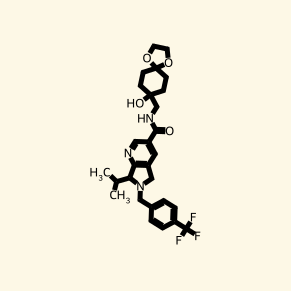 CC(C)C1c2ncc(C(=O)NCC3(O)CCC4(CC3)OCCO4)cc2CN1Cc1ccc(C(F)(F)F)cc1